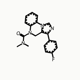 CN(C)C(=O)N1Cc2c(-c3ccc(F)cc3)ncn2-c2ccccc21